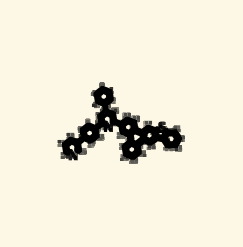 c1ccc(-c2cc(-c3ccc(-c4cccnc4)cc3)nc(-c3ccc4c(c3)c3ccccc3c3cc5c(cc43)sc3ccccc35)c2)cc1